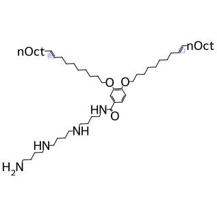 CCCCCCCC/C=C/CCCCCCCCOc1ccc(C(=O)NCCCCNCCCCNCCCCN)cc1OCCCCCCCC/C=C/CCCCCCCC